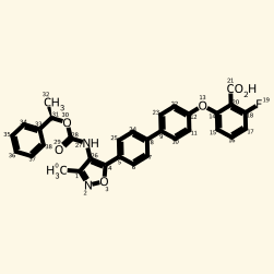 Cc1noc(-c2ccc(-c3ccc(Oc4cccc(F)c4C(=O)O)cc3)cc2)c1NC(=O)O[C@H](C)c1ccccc1